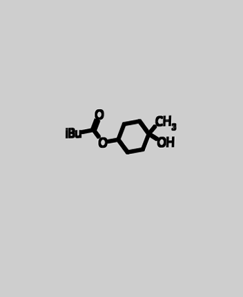 CCC(C)C(=O)OC1CCC(C)(O)CC1